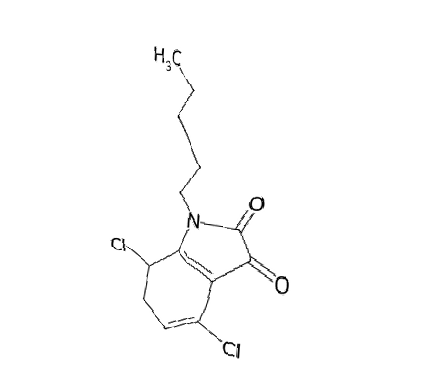 CCCCCN1C(=O)C(=O)C2=C1C(Cl)CC=C2Cl